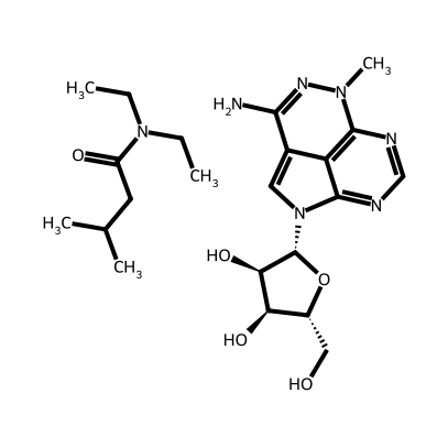 CCN(CC)C(=O)CC(C)C.CN1N=C(N)c2cn([C@@H]3O[C@H](CO)[C@@H](O)[C@H]3O)c3ncnc1c23